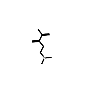 C=C(C)C(=C)CCN(C)C